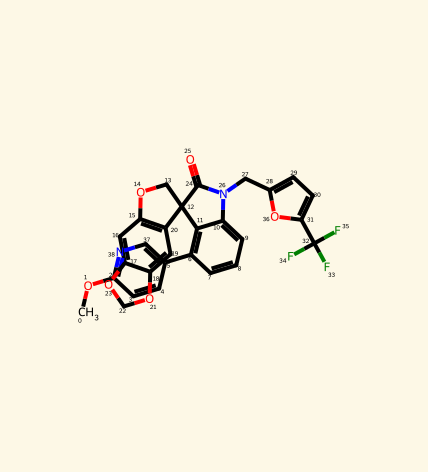 COc1ccc(-c2cccc3c2C2(COc4cc5c(cc42)OCO5)C(=O)N3Cc2ccc(C(F)(F)F)o2)cn1